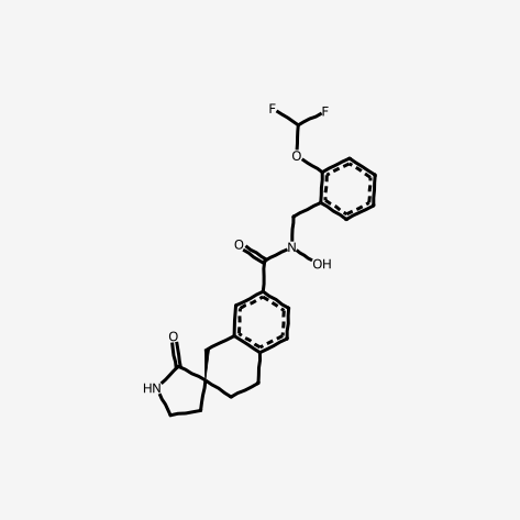 O=C(c1ccc2c(c1)C[C@]1(CCNC1=O)CC2)N(O)Cc1ccccc1OC(F)F